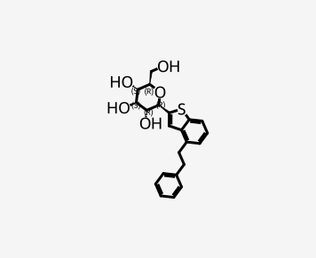 OC[C@H]1O[C@@H](c2cc3c(CCc4ccccc4)cccc3s2)[C@H](O)[C@@H](O)[C@@H]1O